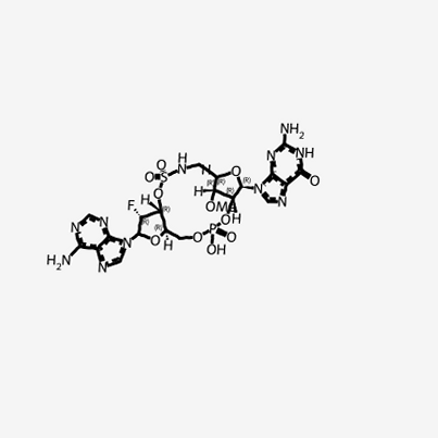 CO[C@H]1[C@H]2OP(=O)(O)OC[C@H]3OC(n4cnc5c(N)ncnc54)[C@H](F)[C@@H]3OS(=O)(=O)NC[C@H]1O[C@H]2n1cnc2c(=O)[nH]c(N)nc21